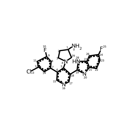 NC1CCN(c2c(-c3cc(F)cc(Cl)c3)cncc2-c2nc3ccc(F)cc3[nH]2)C1